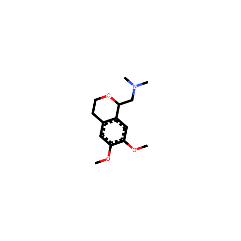 COc1cc2c(cc1OC)C(CN(C)C)OCC2